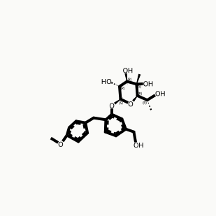 COc1ccc(Cc2ccc(CO)cc2O[C@@H]2O[C@H]([C@@H](C)O)[C@@](C)(O)[C@H](O)[C@H]2O)cc1